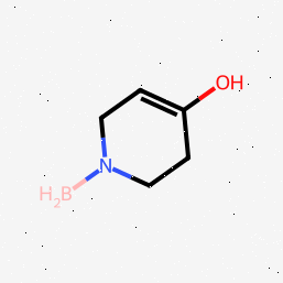 BN1CC=C(O)CC1